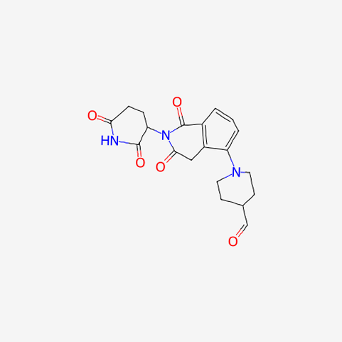 O=CC1CCN(c2cccc3c2CC(=O)N(C2CCC(=O)NC2=O)C3=O)CC1